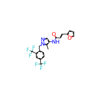 Cc1c(NC(=O)C=Cc2ccco2)cnn1Cc1ccc(C(F)(F)F)cc1C(F)(F)F